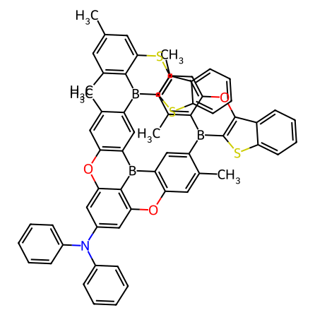 Cc1cc(C)c2c(c1)Oc1c(sc3ccccc13)B2c1cc2c(cc1C)Oc1cc(N(c3ccccc3)c3ccccc3)cc3c1B2c1cc(B2c4sc5ccccc5c4Sc4cc(C)cc(C)c42)c(C)cc1O3